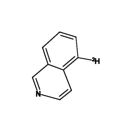 [2H]c1cccc2cnccc12